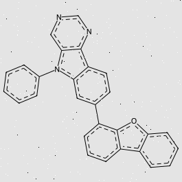 c1ccc(-n2c3cc(-c4cccc5c4oc4ccccc45)ccc3c3ncncc32)cc1